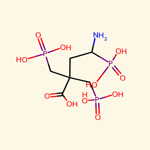 NC(CC(CP(=O)(O)O)(CP(=O)(O)O)C(=O)O)P(=O)(O)O